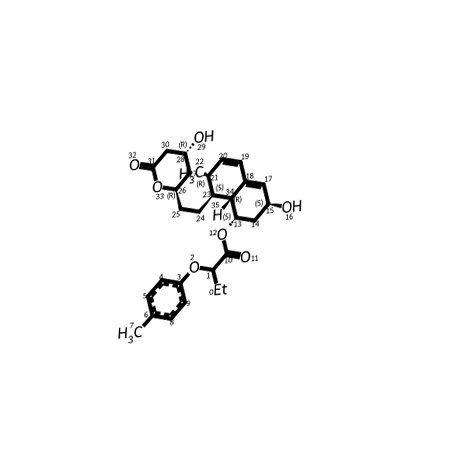 CCC(Oc1ccc(C)cc1)C(=O)O[C@H]1C[C@H](O)C=C2C=C[C@H](C)[C@H](CC[C@@H]3C[C@@H](O)CC(=O)O3)[C@H]21